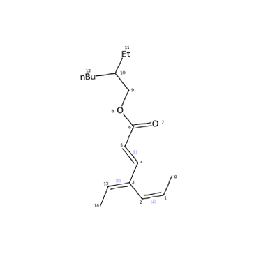 C\C=C/C(/C=C/C(=O)OCC(CC)CCCC)=C\C